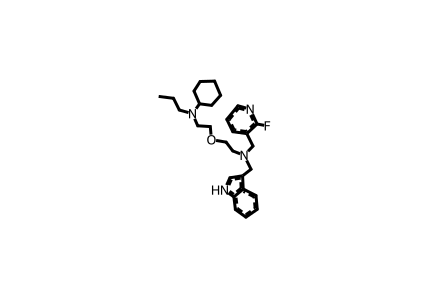 CCCN(CCOCCN(Cc1cccnc1F)Cc1c[nH]c2ccccc12)C1CCCCC1